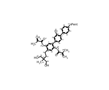 C=C(C)C(=O)Oc1cc(-c2ccc(-c3ccc(CCCCC)cc3)c(CC)c2)c(OC(=O)C(=C)C)cc1CCC(C)(CO)CO